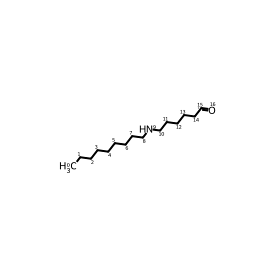 CCCCCCCCCNCCCCC[C]=O